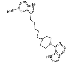 N#Cc1ccc2[nH]cc(CCCCCN3CCN(c4ncnc5cc[nH]c45)CC3)c2c1